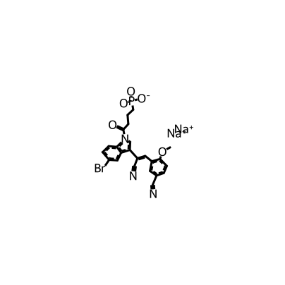 COc1ccc(C#N)cc1/C=C(\C#N)c1cn(C(=O)CCCP(=O)([O-])[O-])c2ccc(Br)cc12.[Na+].[Na+]